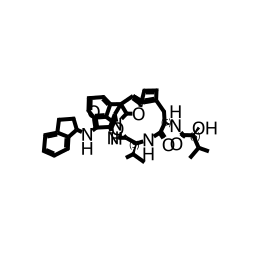 CC(C)[C@H](O)C(=O)N[C@H]1Cc2ccc3c(c2)C2(c4ccccc4NC2O3)c2oc(nc2C(=O)NC2CCc3ccccc32)[C@H](C(C)C)NC1=O